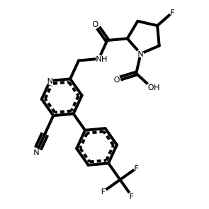 N#Cc1cnc(CNC(=O)C2CC(F)CN2C(=O)O)cc1-c1ccc(C(F)(F)F)cc1